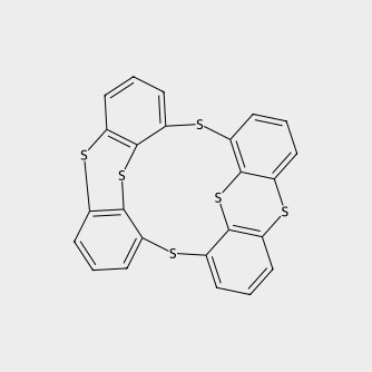 c1cc2sc3cccc4sc5cccc6sc7cccc(sc(c1)c2sc34)c7sc65